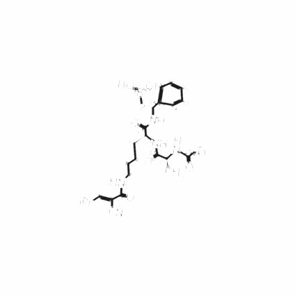 CC(C)C=C(C#N)C(=O)NCCCC[C@H](NC(=O)[C@H](C)NC(=O)C(C)C)C(=O)N[C@H](CB(O)O)c1ccccc1